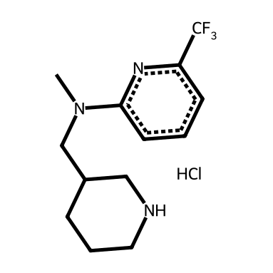 CN(CC1CCCNC1)c1cccc(C(F)(F)F)n1.Cl